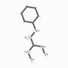 CC(C)NC(NC(C)C)[SiH2]NC1CCCCC1